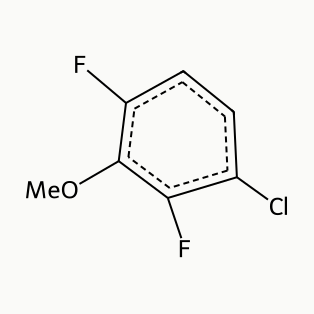 COc1c(F)ccc(Cl)c1F